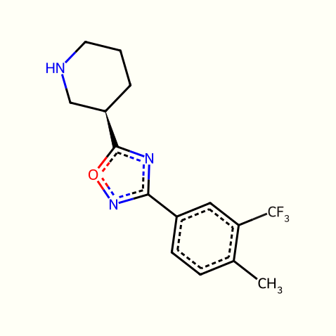 Cc1ccc(-c2noc([C@@H]3CCCNC3)n2)cc1C(F)(F)F